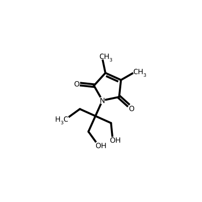 CCC(CO)(CO)N1C(=O)C(C)=C(C)C1=O